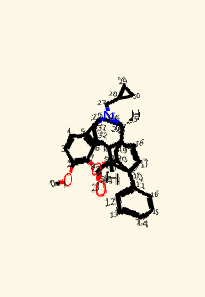 COc1ccc2c3c1O[C@H]1C4(c5ccccc5)C=CC5(CC4C=O)[C@@H](C2)N(CC2CC2)CC[C@]315